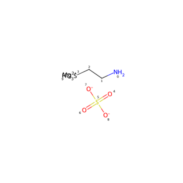 NCCS(=O)(=O)O.O=S(=O)([O-])[O-].[Mg+2]